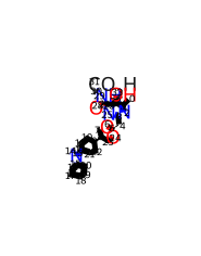 Cc1nc(C[C@H]2OC[C@H](C3C=CC(N(C)c4ccccc4)=CC3)CO2)nc(C(=O)NCC(=O)O)c1O